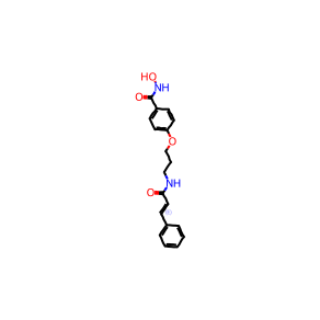 O=C(/C=C/c1ccccc1)NCCCOc1ccc(C(=O)NO)cc1